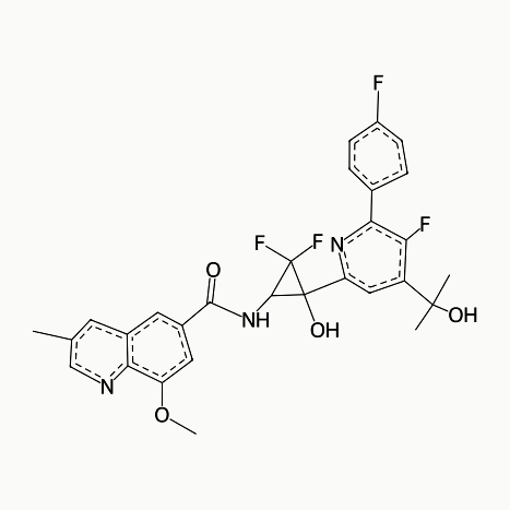 COc1cc(C(=O)NC2C(F)(F)C2(O)c2cc(C(C)(C)O)c(F)c(-c3ccc(F)cc3)n2)cc2cc(C)cnc12